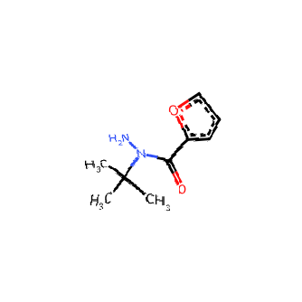 CC(C)(C)N(N)C(=O)c1ccco1